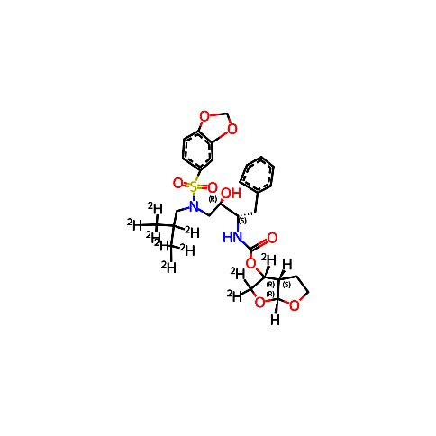 [2H]C([2H])([2H])C([2H])(CN(C[C@@H](O)[C@H](Cc1ccccc1)NC(=O)O[C@]1([2H])[C@@H]2CCO[C@@H]2OC1([2H])[2H])S(=O)(=O)c1ccc2c(c1)OCO2)C([2H])([2H])[2H]